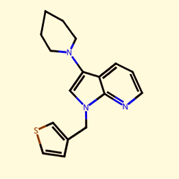 c1cnc2c(c1)c(N1CCCCC1)cn2Cc1ccsc1